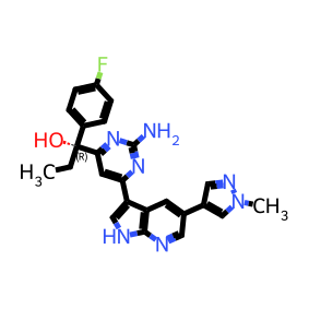 CC[C@@](O)(c1ccc(F)cc1)c1cc(-c2c[nH]c3ncc(-c4cnn(C)c4)cc23)nc(N)n1